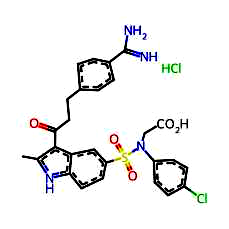 Cc1[nH]c2ccc(S(=O)(=O)N(CC(=O)O)c3ccc(Cl)cc3)cc2c1C(=O)CCc1ccc(C(=N)N)cc1.Cl